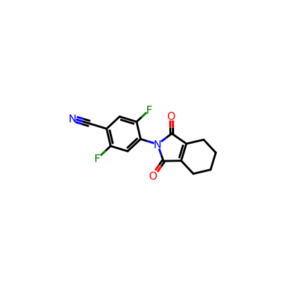 N#Cc1cc(F)c(N2C(=O)C3=C(CCCC3)C2=O)cc1F